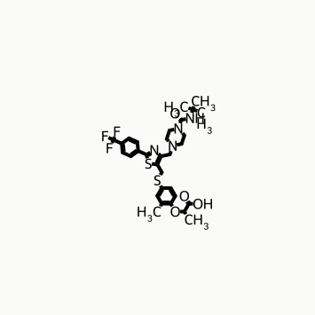 Cc1cc(SCc2sc(-c3ccc(C(F)(F)F)cc3)nc2CN2CCN(C(=O)NC(C)(C)C)CC2)ccc1OC(C)C(=O)O